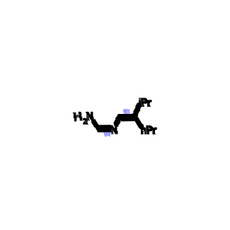 CCC/C(=C\N=C/N)C(C)C